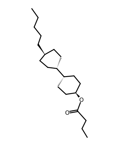 CCCCC[C@H]1CC[C@H]([C@H]2CC[C@H](OC(=O)CCC)CC2)CC1